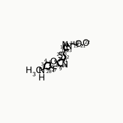 CNc1ccc(Oc2ccnc3cc(-c4cnn(CCOC=O)c4)sc23)c(F)c1